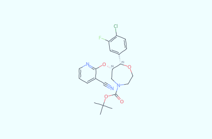 CC(C)(C)OC(=O)N1CCO[C@@H](c2ccc(Cl)c(F)c2)[C@@H](Oc2ncccc2C#N)C1